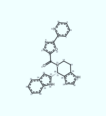 O=C(c1nnc(-c2ccccn2)o1)N1CCc2[nH]cnc2[C@@H]1c1cc2ccccc2[nH]1